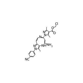 Cc1nn(-c2cc(N)[nH]c3c(C)n(-c4ccc(C#N)cc4)nc3ccn2)c(C)c1C(=O)OCCl